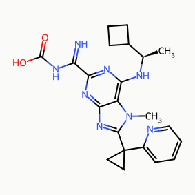 C[C@@H](Nc1nc(C(=N)NC(=O)O)nc2nc(C3(c4ccccn4)CC3)n(C)c12)C1CCC1